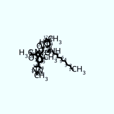 CCCCCCCCCCNC(=O)[C@@H]1C[C@@]2(C)C[C@H]2N1C(=O)Cn1nc(C(C)=O)c2cc(-c3cnc(C)nc3)cc(C)c21